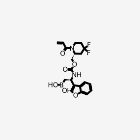 C=CC(=O)N1CCC(F)(F)C[C@@H]1COC(=O)N[C@H](CB(O)O)c1coc2ccccc12